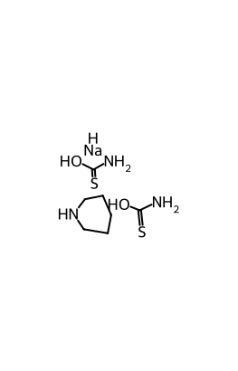 C1CCNCC1.NC(O)=S.NC(O)=S.[NaH]